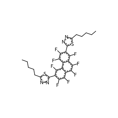 CCCCCc1nnc(-c2c(F)c(F)c3c(c2F)c(F)c(F)c2c(F)c(F)c(-c4nnc(CCCCC)s4)c(F)c23)s1